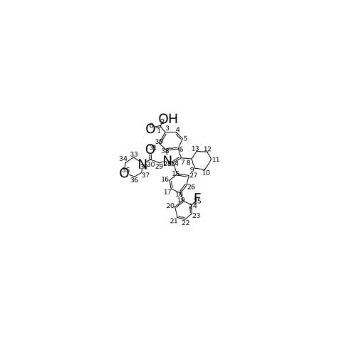 O=C(O)c1ccc2c(C3CCCCC3)c(-c3ccc(-c4ccccc4F)cc3)n(CC(=O)N3CCOCC3)c2c1